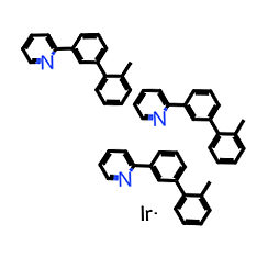 Cc1ccccc1-c1cccc(-c2ccccn2)c1.Cc1ccccc1-c1cccc(-c2ccccn2)c1.Cc1ccccc1-c1cccc(-c2ccccn2)c1.[Ir]